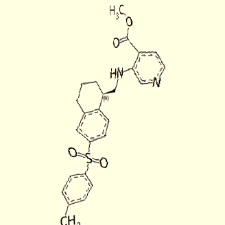 COC(=O)c1ccncc1NC[C@@H]1CCCc2cc(S(=O)(=O)c3ccc(C)cc3)ccc21